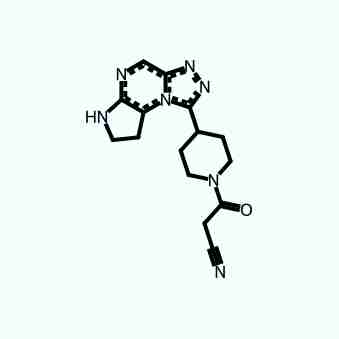 N#CCC(=O)N1CCC(c2nnc3cnc4c(n23)CCN4)CC1